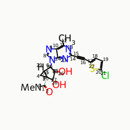 CNC(=O)[C@]12C[C@@H]1[C@@H](n1cnc3c(C)nc(C#Cc4ccc(Cl)s4)nc31)[C@@H](O)C2O